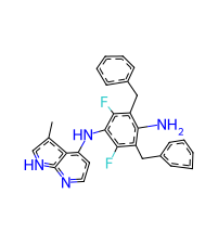 Cc1c[nH]c2nccc(Nc3c(F)c(Cc4ccccc4)c(N)c(Cc4ccccc4)c3F)c12